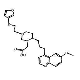 COc1ccc2nccc(CCC[C@@H]3CCN(CCSc4ccoc4)C[C@@H]3CC(=O)O)c2c1